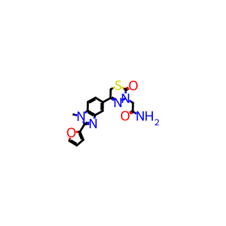 Cn1c(-c2ccco2)nc2cc(C3=NN(CC(N)=O)C(=O)SC3)ccc21